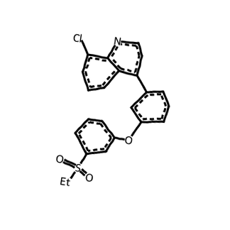 CCS(=O)(=O)c1cccc(Oc2cccc(-c3ccnc4c(Cl)cccc34)c2)c1